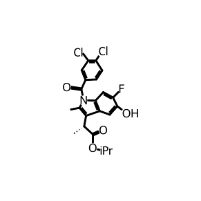 Cc1c([C@@H](C)C(=O)OC(C)C)c2cc(O)c(F)cc2n1C(=O)c1ccc(Cl)c(Cl)c1